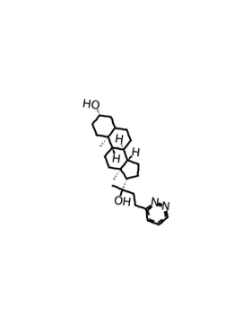 CC(O)(CCc1cccnn1)[C@H]1CC[C@H]2[C@@H]3CCC4C[C@@H](O)CC[C@]4(C)[C@H]3CC[C@]12C